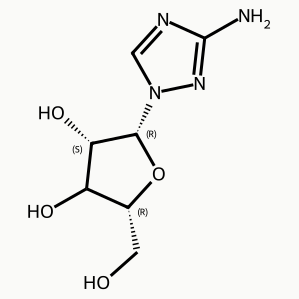 Nc1ncn([C@@H]2O[C@H](CO)C(O)[C@@H]2O)n1